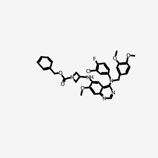 COc1cc2ncnc(N(Cc3ccc(OC)c(OC)c3)c3ccc(F)c(Cl)c3)c2cc1NC1CN(C(=O)OCc2ccccc2)C1